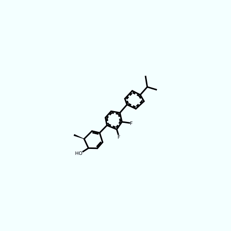 CC(C)c1ccc(-c2ccc(C3=C[C@H](C)C(O)C=C3)c(F)c2F)cc1